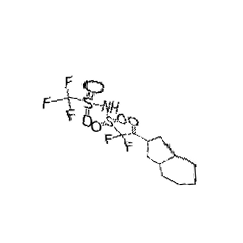 O=C(C1CCC2CCCCC2C1)C(F)(F)S(=O)(=O)NS(=O)(=O)C(F)(F)F